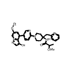 CCOc1cc(-c2ccc(N3CCC(Cc4ccccn4)(NC(=O)C(C)OC)CC3)nc2)c2c(C#N)cnn2c1